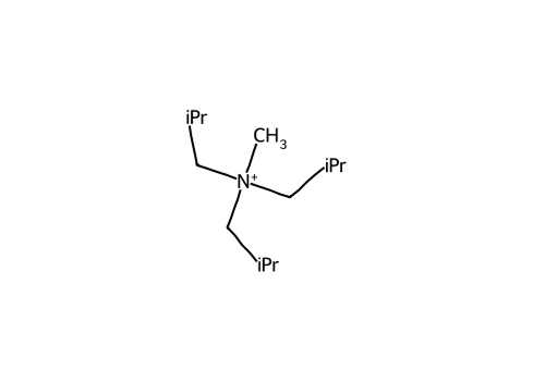 CC(C)C[N+](C)(CC(C)C)CC(C)C